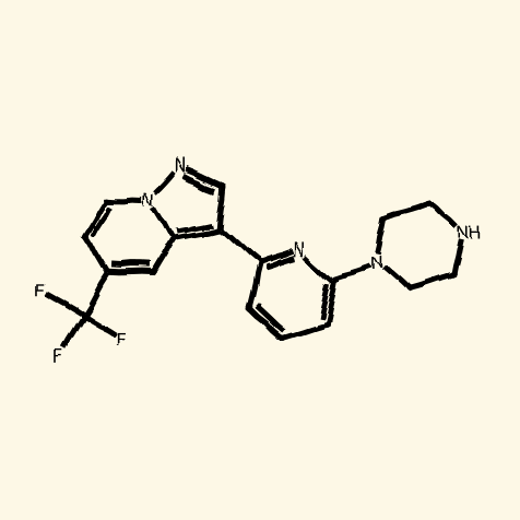 FC(F)(F)c1ccn2ncc(-c3cccc(N4CCNCC4)n3)c2c1